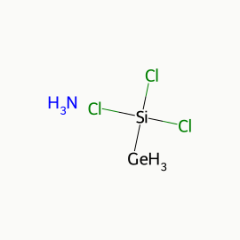 Cl[Si](Cl)(Cl)[GeH3].N